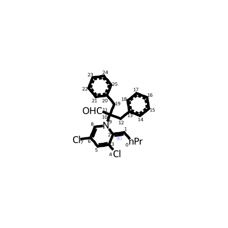 CCC/C=C1\C(Cl)=CC(Cl)=CN1C(C=O)(Cc1ccccc1)Cc1ccccc1